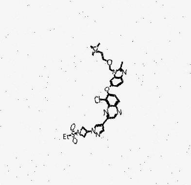 CCS(=O)(=O)N1CC(n2cc(-c3cnc4ccc(Oc5ccc6nc(C)n(COCC[Si](C)(C)C)c6c5)c(Cl)c4n3)cn2)C1